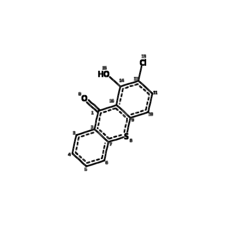 O=c1c2ccccc2sc2ccc(Cl)c(O)c12